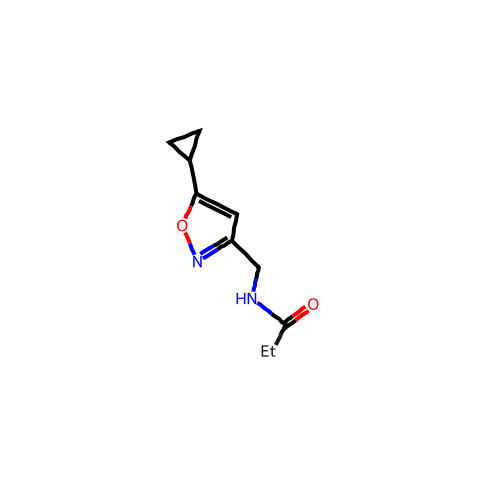 CCC(=O)NCc1cc(C2CC2)on1